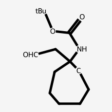 CC(C)(C)OC(=O)NC1(CC=O)CCCCCC1